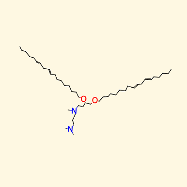 CCCCCC=CCC=CCCCCCCCCOCC(CCN(C)CCCN(C)C)OCCCCCCCCC=CCC=CCCCCC